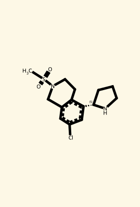 CS(=O)(=O)N1CCc2c(cc(Cl)cc2[C@@H]2CCCN2)C1